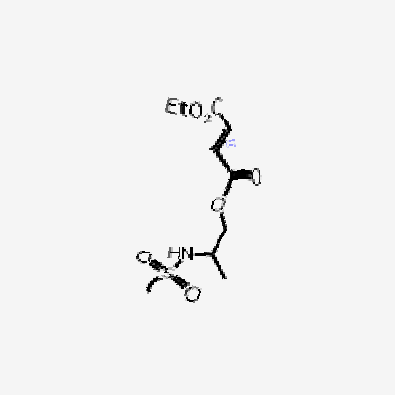 CCOC(=O)/C=C/C(=O)OCC(C)NS(C)(=O)=O